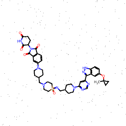 CC1(Oc2ccc3[nH]nc(-c4cc(N5CCC(CN=S6(=O)CCN(CC7CCN(c8ccc9c(c8)C(=O)N(C8CCC(=O)NC8=O)C9=O)CC7)CC6)CC5)ncn4)c3c2)CC1